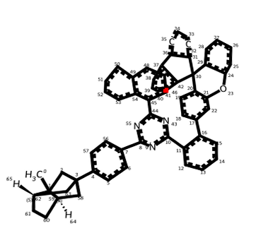 CC12CC3(c4ccc(-c5nc(-c6ccccc6-c6ccc7c(c6)Oc6ccccc6C76c7ccccc7-c7ccccc76)nc(-c6cccc7ccccc67)n5)cc4)C[C@H]1CC[C@H]2C3